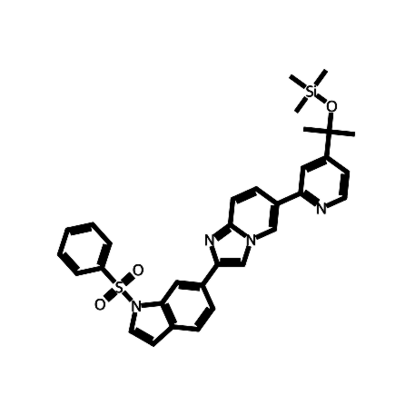 CC(C)(O[Si](C)(C)C)c1ccnc(-c2ccc3nc(-c4ccc5ccn(S(=O)(=O)c6ccccc6)c5c4)cn3c2)c1